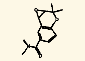 CN(C)C(=O)c1ccc2c(c1)C1OC1C(C)(C)O2